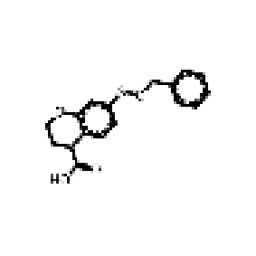 O=C(O)C1CCOc2cc(SOCc3ccccc3)ccc21